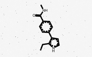 CCc1[nH]ccc1-c1ccc(C(=O)NC)cc1